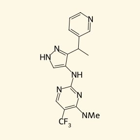 CNc1nc(Nc2c[nH]nc2C(C)c2cccnc2)ncc1C(F)(F)F